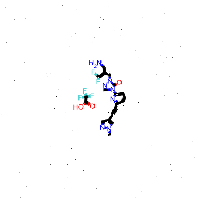 Cn1cc(C#Cc2cccc(-n3cnn(CC(CN)=C(F)F)c3=O)n2)cn1.O=C(O)C(F)(F)F